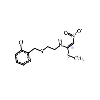 CS/C(=C/[N+](=O)[O-])NCCSCc1ncccc1Cl